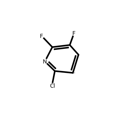 Fc1c[c]c(Cl)nc1F